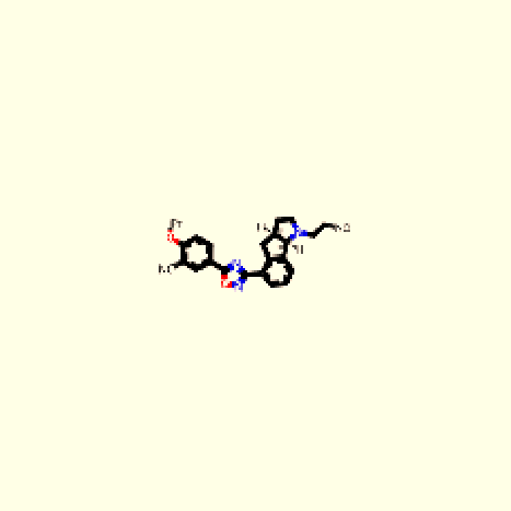 CC(C)Oc1ccc(-c2nc(-c3cccc4c3C[C@H]3CCN(CCN=O)[C@@H]43)no2)cc1C#N